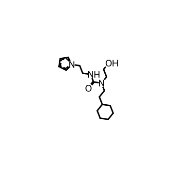 O=C(NCCn1cccc1)N(CCO)CCC1CCCCC1